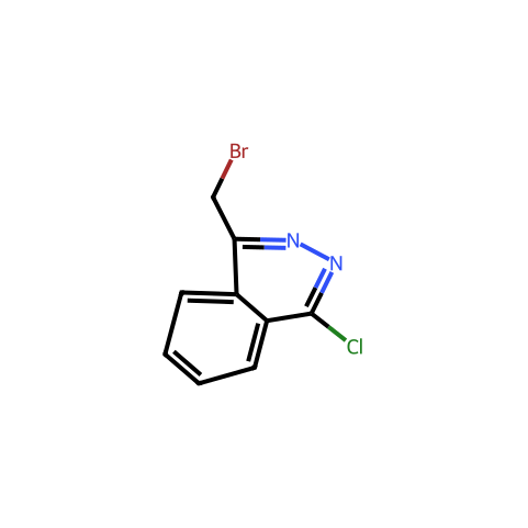 Clc1nnc(CBr)c2ccccc12